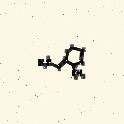 CC=C1CCC=CC1C